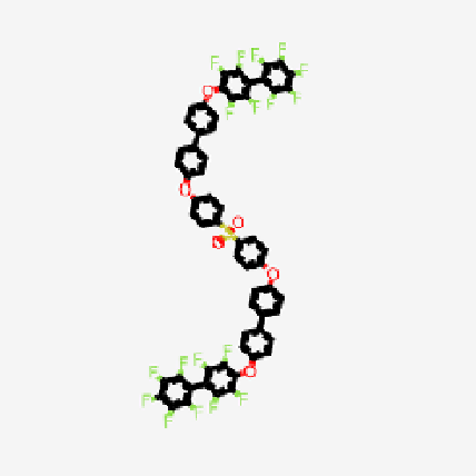 O=S(=O)(c1ccc(Oc2ccc(-c3ccc(Oc4c(F)c(F)c(-c5c(F)c(F)c(F)c(F)c5F)c(F)c4F)cc3)cc2)cc1)c1ccc(Oc2ccc(-c3ccc(Oc4c(F)c(F)c(-c5c(F)c(F)c(F)c(F)c5F)c(F)c4F)cc3)cc2)cc1